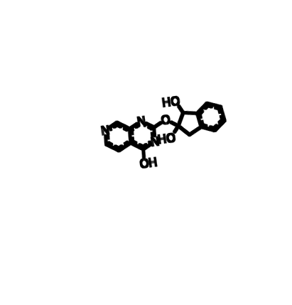 Oc1nc(OC2(O)Cc3ccccc3C2O)nc2cnccc12